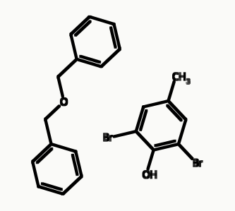 Cc1cc(Br)c(O)c(Br)c1.c1ccc(COCc2ccccc2)cc1